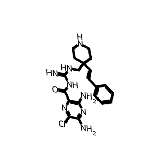 N=C(NCC1(C=Cc2ccccc2)CCNCC1)NC(=O)c1nc(Cl)c(N)nc1N